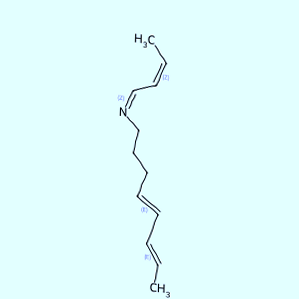 C/C=C\C=N/CCC/C=C/C=C/C